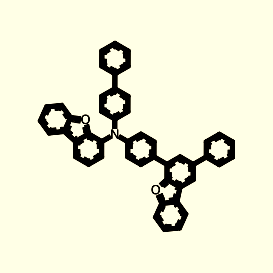 c1ccc(-c2ccc(N(c3ccc(-c4cc(-c5ccccc5)cc5c4oc4ccccc45)cc3)c3cccc4c3oc3ccccc34)cc2)cc1